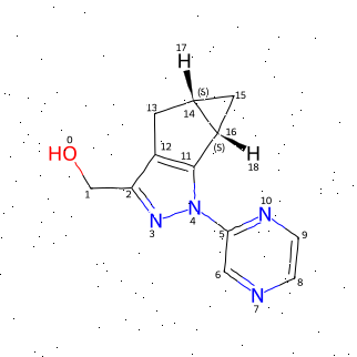 OCc1nn(-c2cnccn2)c2c1C[C@@H]1C[C@H]21